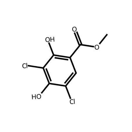 COC(=O)c1cc(Cl)c(O)c(Cl)c1O